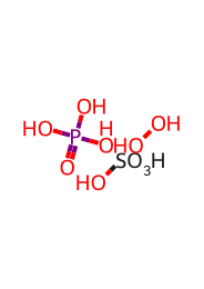 O=P(O)(O)O.O=S(=O)(O)O.OO